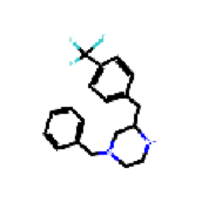 FC(F)(F)c1ccc(CC2CN(Cc3ccccc3)CCN2)cc1